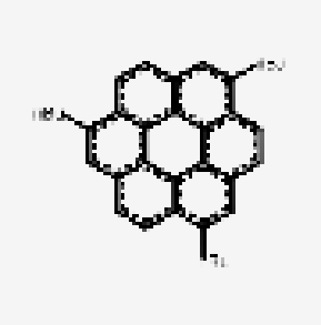 CCCCc1cc2ccc3c(CCCC)cc4ccc5c(CCCC)cc6ccc1c1c6c5c4c3c21